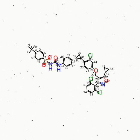 CC(C)(C)c1ccc(S(=O)(=O)NC(=O)Nc2ccc([C@@H]3C[C@H]3c3ccc(OCc4c(-c5c(Cl)cccc5Cl)noc4C4CC4)cc3Cl)cc2)cc1